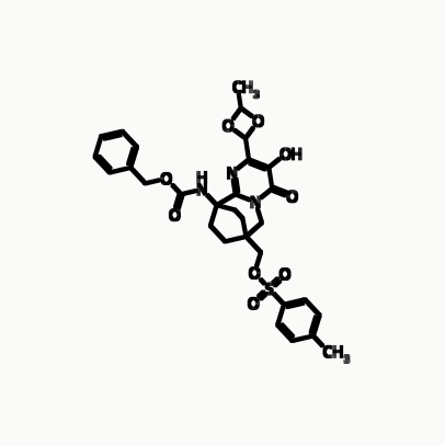 Cc1ccc(S(=O)(=O)OCC23CCC(NC(=O)OCc4ccccc4)(CC2)c2nc(C4OC(C)O4)c(O)c(=O)n2C3)cc1